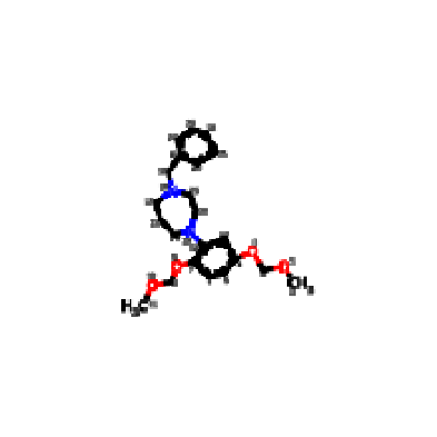 COCOc1ccc(OCOC)c(N2CCCN(Cc3ccccc3)CC2)c1